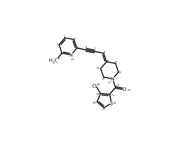 Cc1cccc(C#CC=C2CCN(C(=O)c3sccc3Cl)CC2)n1